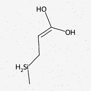 C[SiH2]CC=C(O)O